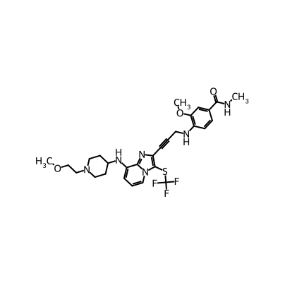 CNC(=O)c1ccc(NCC#Cc2nc3c(NC4CCN(CCOC)CC4)cccn3c2SC(F)(F)F)c(OC)c1